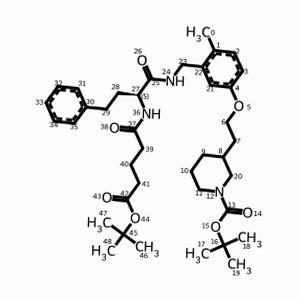 Cc1ccc(OCCC2CCCN(C(=O)OC(C)(C)C)C2)cc1CNC(=O)[C@H](CCc1ccccc1)NC(=O)CCCC(=O)OC(C)(C)C